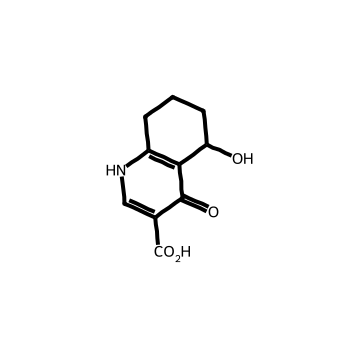 O=C(O)c1c[nH]c2c(c1=O)C(O)CCC2